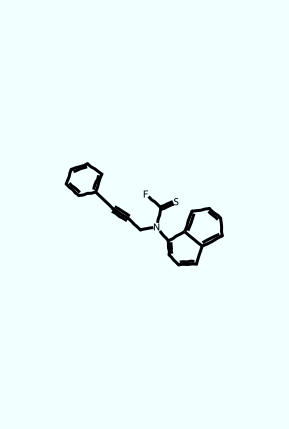 FC(=S)N(CC#Cc1ccccc1)c1cccc2ccccc12